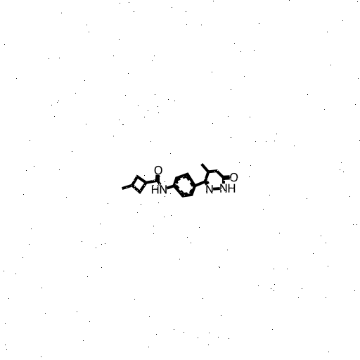 CC1CC(C(=O)Nc2ccc(C3=NNC(=O)CC3C)cc2)C1